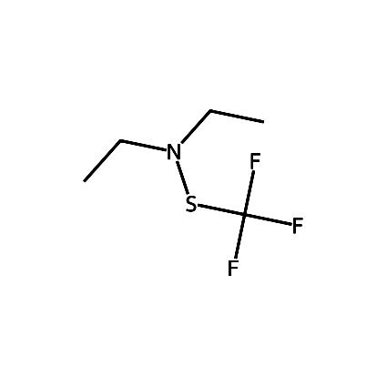 CCN(CC)SC(F)(F)F